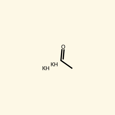 CC=O.[KH].[KH]